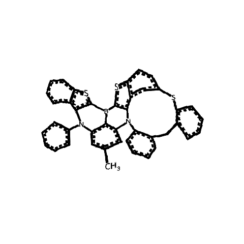 Cc1cc2c3c(c1)N1c4ccccc4Cc4ccccc4Sc4ccc5sc(c1c5c4)B3c1sc3ccccc3c1N2c1ccccc1